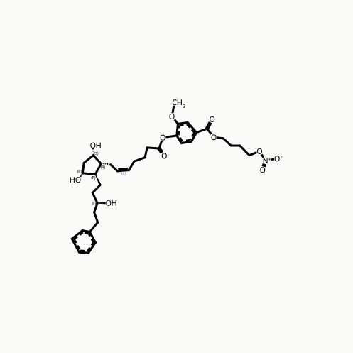 COc1cc(C(=O)OCCCCO[N+](=O)[O-])ccc1OC(=O)CCC/C=C\C[C@@H]1[C@@H](CC[C@@H](O)CCc2ccccc2)[C@H](O)C[C@@H]1O